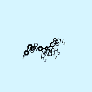 C=Nn1c(C2CCN(S(C)(=O)=O)CC2)cc(-c2ccc(NC(=O)c3cccn(-c4ccc(F)cc4)c3=O)cc2)c1/C(N)=N\C